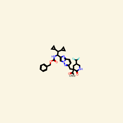 COC(=O)C1(Cc2ccc3nc(C(NC(=O)OCc4ccccc4)C(C4CC4)C4CC4)cn3n2)CC(C(F)F)CNC1=O